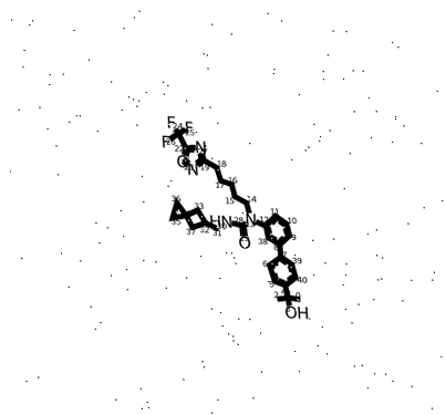 CC(C)(O)c1ccc(-c2cccc(N(CCCCCc3noc(C(F)(F)F)n3)C(=O)NCC3CC4(CC4)C3)c2)cc1